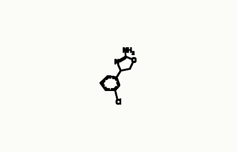 NC1=NC(c2cccc(Cl)c2)CO1